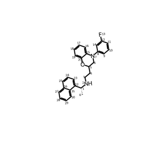 C[C@@H](NCCC1CN(c2cccc(F)c2)c2ccccc2O1)c1cccc2ccccc12